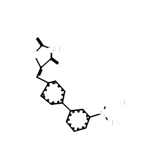 CCCCCCCN(C(=O)O)c1cccc(-c2ccc(C=C3SC(=O)NC3=O)cc2)c1